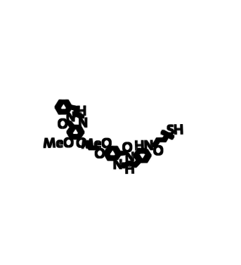 COc1cc2c(cc1OCCCOc1cc3c(cc1OC)C(=O)N1c4cc(NC(=O)CCC(C)(C)S)ccc4C[C@H]1C=N3)N=C[C@@H]1Cc3ccccc3N1C2=O